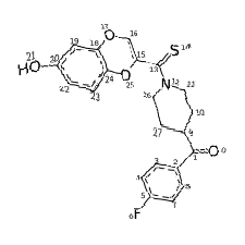 O=C(c1ccc(F)cc1)C1CCN(C(=S)C2=COc3cc(O)ccc3O2)CC1